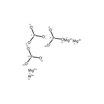 [Al+3].[Mg+2].[Mg+2].[Mg+2].[O-]P([O-])[O-].[O-]P([O-])[O-].[O-]P([O-])[O-]